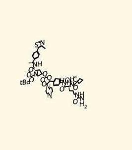 Cc1ncsc1-c1ccc([C@H](C)NC(=O)[C@@H]2C[C@@H](OC(=O)OC(C(=O)N3CCN(C)CC3)c3ccc(NC(=O)[C@H](CCCNC(N)=O)NC(=O)C4(C(=O)O)CCC4)cc3)CN2C(=O)OC(C)(C)C)cc1